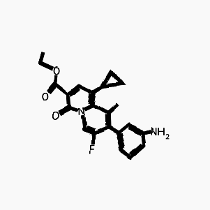 CCOC(=O)c1cc(C2CC2)c2c(C)c(-c3cccc(N)c3)c(F)cn2c1=O